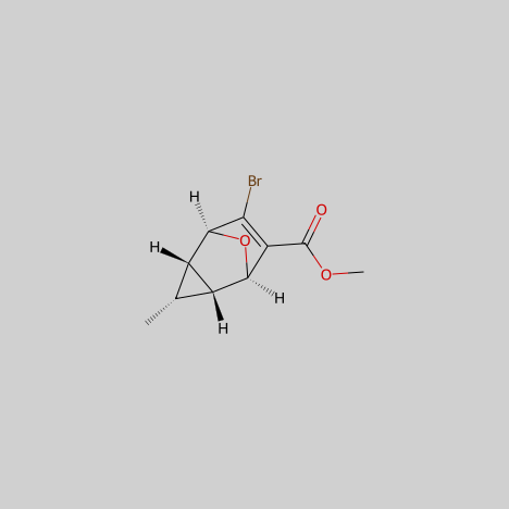 COC(=O)C1=C(Br)[C@H]2O[C@@H]1[C@@H]1[C@H](C)[C@@H]12